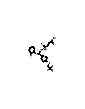 O=C(O)/C=C/C(=O)NN/C(=N\c1ccccc1Cl)c1ccc(OCC(F)(F)F)cn1